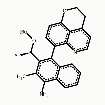 CC(=O)[C@@H](OC(C)(C)C)c1c(C)c(N)c2ccccc2c1-c1ccc2c3c(ccnc13)CCO2